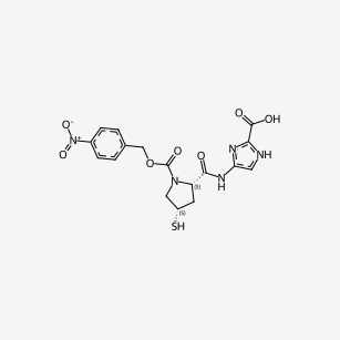 O=C(O)c1nc(NC(=O)[C@@H]2C[C@H](S)CN2C(=O)OCc2ccc([N+](=O)[O-])cc2)c[nH]1